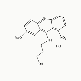 COc1ccc2nc3cccc([N+](=O)[O-])c3c(NCCCO)c2c1.Cl